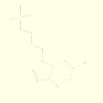 C[Si](C)(C)CCOCN1C=CC2N=CC(Br)=CC21